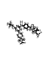 CC(C)S(=O)(=O)N1CCN(c2nc(Nc3ccc(C(=O)NS(=O)(=O)C4(CN(C)C)CC4)cc3)nc(OCC(F)(F)F)n2)CC1